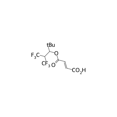 CC(C)(C)C(OC(=O)/C=C/C(=O)O)C(C(F)(F)F)C(F)(F)F